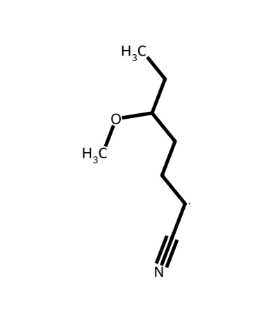 CCC(CC[CH]C#N)OC